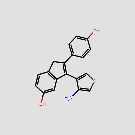 Nc1cscc1C1=C(c2ccc(O)cc2)Cc2ccc(O)cc21